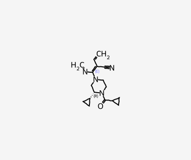 C=C/C(C#N)=C(\N=C)N1CCN(C(=O)C2CC2)[C@H](C2CC2)C1